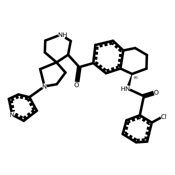 O=C(N[C@@H]1CCCc2ccc(C(=O)C3CNCCC34CCN(c3ccncc3)C4)cc21)c1ccccc1Cl